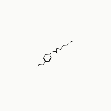 CCCC1=CCC(NC(=O)CCCCNC)C=C1